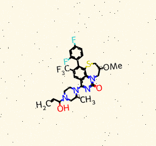 C=CC(O)N1CCN(c2nc(=O)n3c4c(c(-c5ccc(F)cc5F)c(C(F)(F)F)cc24)SC[C@@H](OC)C3)[C@@H](C)C1